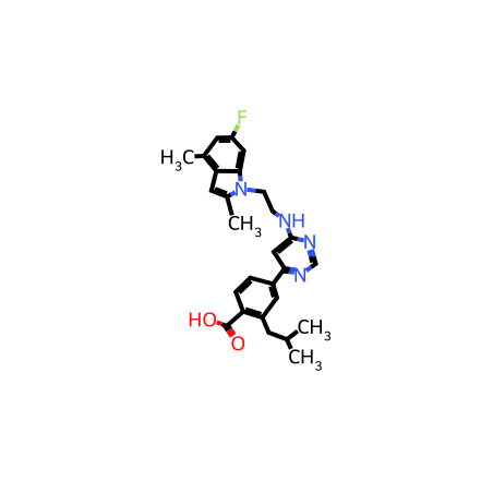 Cc1cc(F)cc2c1cc(C)n2CCNc1cc(-c2ccc(C(=O)O)c(CC(C)C)c2)ncn1